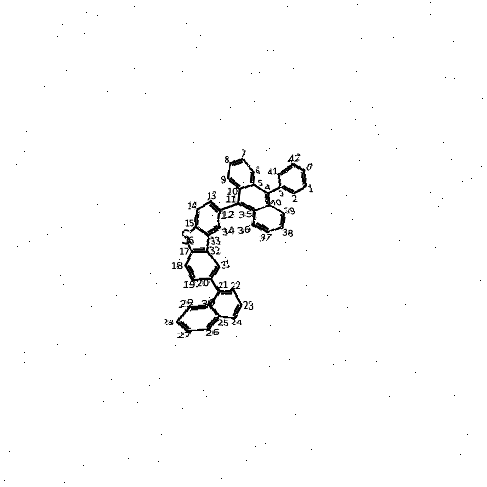 c1ccc(-c2c3ccccc3c(-c3ccc4sc5ccc(-c6cccc7ccccc67)cc5c4c3)c3ccccc23)cc1